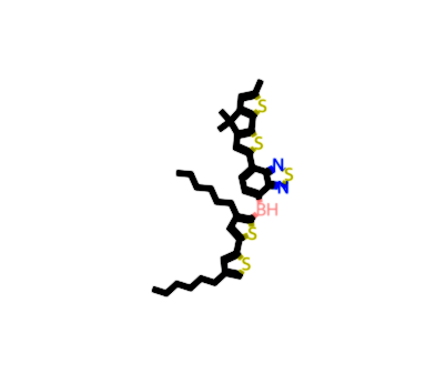 CCCCCCc1csc(-c2cc(CCCCCC)c(Bc3ccc(-c4cc5c(s4)-c4sc(C)cc4C5(C)C)c4nsnc34)s2)c1